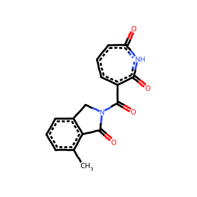 Cc1cccc2c1C(=O)N(C(=O)c1cccc(=O)[nH]c1=O)C2